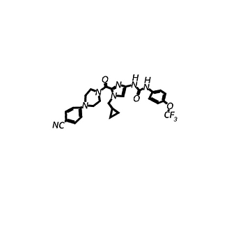 N#Cc1ccc(N2CCN(C(=O)c3nc(NC(=O)Nc4ccc(OC(F)(F)F)cc4)cn3CC3CC3)CC2)cc1